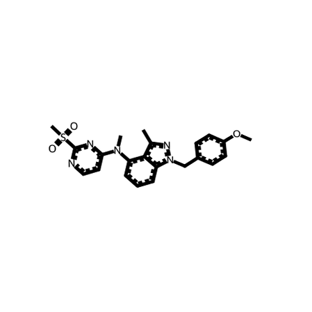 COc1ccc(Cn2nc(C)c3c(N(C)c4ccnc(S(C)(=O)=O)n4)cccc32)cc1